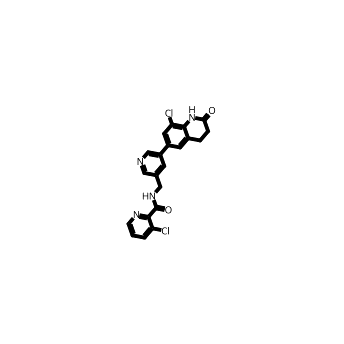 O=C1CCc2cc(-c3cncc(CNC(=O)c4ncccc4Cl)c3)cc(Cl)c2N1